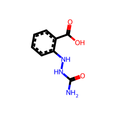 NC(=O)NNc1ccccc1C(=O)O